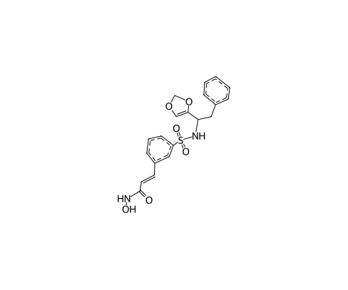 O=C(C=Cc1cccc(S(=O)(=O)NC(Cc2ccccc2)C2=COCO2)c1)NO